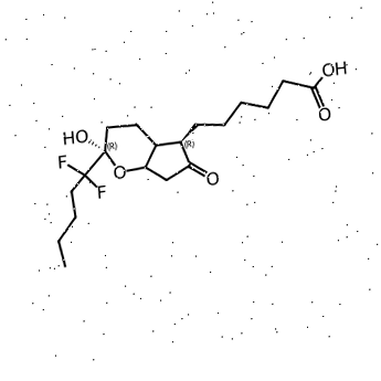 CCCCC(F)(F)[C@@]1(O)CCC2C(CC(=O)[C@@H]2CCCCCC(=O)O)O1